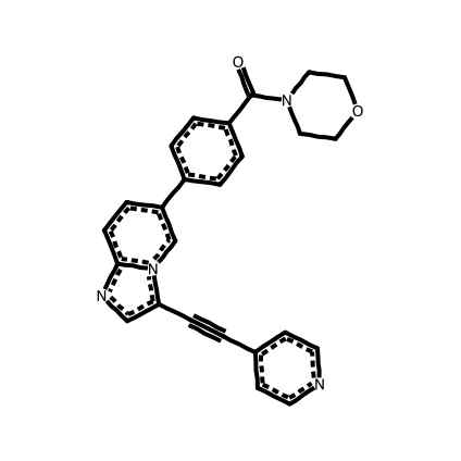 O=C(c1ccc(-c2ccc3ncc(C#Cc4ccncc4)n3c2)cc1)N1CCOCC1